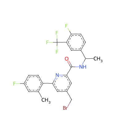 Cc1cc(F)ccc1-c1cc(CBr)cc(C(=O)NC(C)c2ccc(F)c(C(F)(F)F)c2)n1